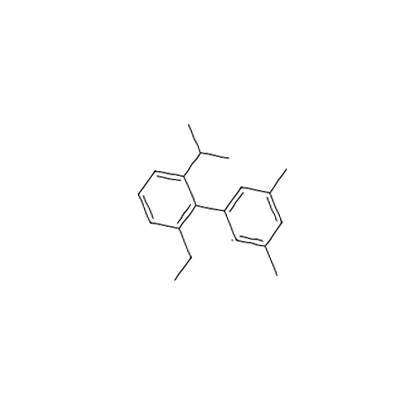 CCc1cccc(C(C)C)c1-c1[c]c(C)cc(C)c1